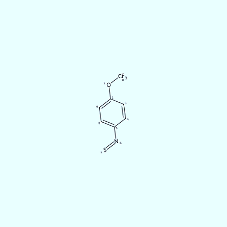 FC(F)(F)Oc1ccc(N=S)cc1